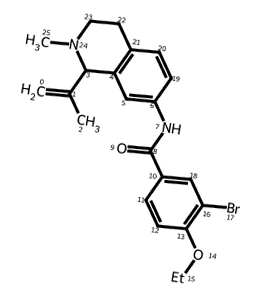 C=C(C)C1c2cc(NC(=O)c3ccc(OCC)c(Br)c3)ccc2CCN1C